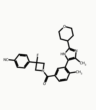 Cc1ccc(C(=O)N2CC(F)(c3ccc(C#N)cc3)C2)cc1-c1[nH]c(C2CCOCC2)nc1C